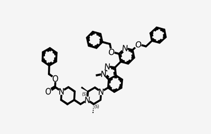 C[C@H]1CN(c2cccc3c(-c4ccc(OCc5ccccc5)nc4OCc4ccccc4)nn(C)c23)C[C@H](C)N1CC1CCN(C(=O)OCc2ccccc2)CC1